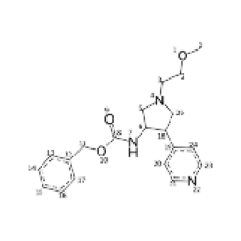 COCCN1CC(NC(=O)OCc2ccccc2)C(c2ccncc2)C1